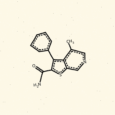 Cc1cncc2sc(C(N)=O)c(-c3ccccc3)c12